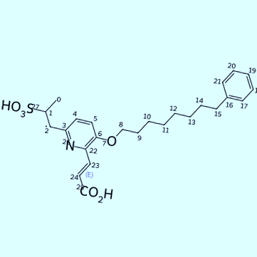 CC([CH]c1ccc(OCCCCCCCCc2ccccc2)c(/C=C/C(=O)O)n1)S(=O)(=O)O